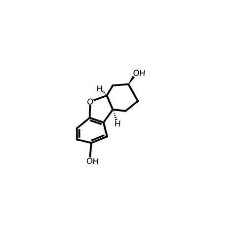 Oc1ccc2c(c1)[C@@H]1CC[C@H](O)C[C@@H]1O2